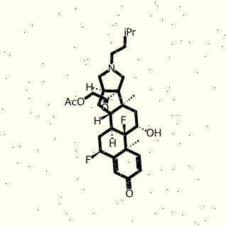 CC(=O)OCC(=O)[C@@]12CN(CCC(C)C)C[C@@H]1C[C@H]1[C@@H]3C[C@H](F)C4=CC(=O)C=C[C@]4(C)[C@@]3(F)[C@@H](O)C[C@@]12C